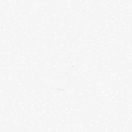 CC(Br)CCCCOC=O